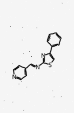 C(=Nc1nc(-c2ccccc2)cs1)c1ccncc1